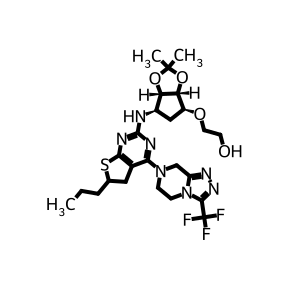 CCCC1Cc2c(nc(N[C@@H]3C[C@H](OCCO)[C@H]4OC(C)(C)O[C@H]43)nc2N2CCn3c(nnc3C(F)(F)F)C2)S1